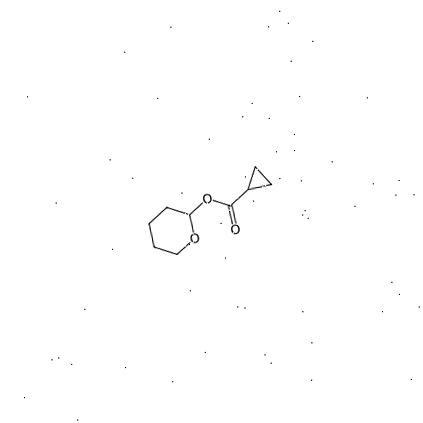 O=C(OC1CCCCO1)C1CC1